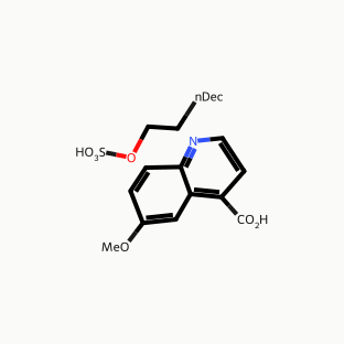 CCCCCCCCCCCCOS(=O)(=O)O.COc1ccc2nccc(C(=O)O)c2c1